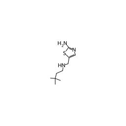 CC(C)(C)CCNCc1cnc(N)s1